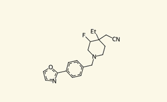 CCC1(CC#N)CCN(Cc2ccc(-c3ncco3)cc2)CC1F